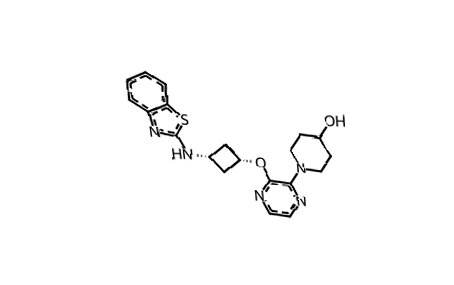 OC1CCN(c2nccnc2O[C@H]2C[C@@H](Nc3nc4ccccc4s3)C2)CC1